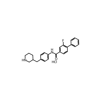 Cl.O=C(Nc1ccc(CC2CCCNC2)cc1)c1ccc(-c2ccccc2)c(F)c1